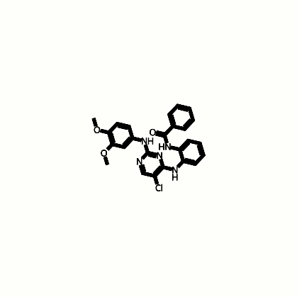 COc1ccc(Nc2ncc(Cl)c(Nc3ccccc3NC(=O)c3ccccc3)n2)cc1OC